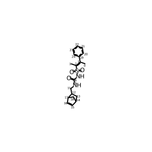 C/C(=C(/C)S(=O)(=O)NC(=O)NCC1CC2C=CC1C2)c1ccccc1